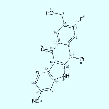 CC(C)n1c2cc(F)c(CO)cc2c(=O)c2c3ccc(C#N)cc3[nH]c21